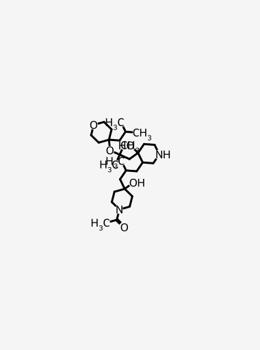 CC(=O)N1CCC(O)(CC(C)CC2CNCCC2(O)CC(C)(C)OC2(CC(C)C)CCOCC2)CC1